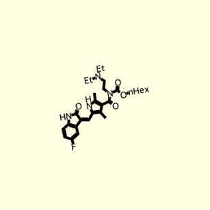 CCCCCCOC(=O)N(CCN(CC)CC)C(=O)c1c(C)[nH]c(C=C2C(=O)Nc3ccc(F)cc32)c1C